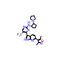 Cc1noc(C)c1-c1ccc2c(-c3nc(N[C@H]4CCC[C@@H]4N4CCCC4)ncc3C(F)(F)F)c[nH]c2n1